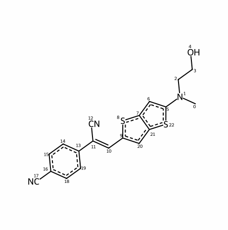 CN(CCO)c1cc2sc(/C=C(\C#N)c3ccc(C#N)cc3)cc2s1